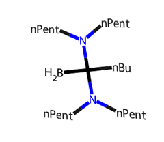 BC(CCCC)(N(CCCCC)CCCCC)N(CCCCC)CCCCC